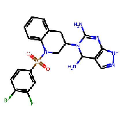 NC1=Nc2[nH]ncc2C(N)N1C1Cc2ccccc2N(S(=O)(=O)c2ccc(Br)c(F)c2)C1